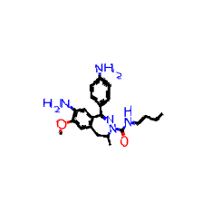 CCCCNC(=O)N1N=C(c2ccc(N)cc2)c2cc(N)c(OC)cc2CC1C